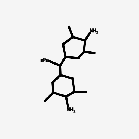 CCCC(C1CC(C)C(N)C(C)C1)C1CC(C)C(N)C(C)C1